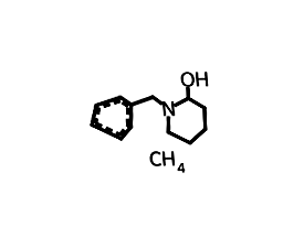 C.OC1CCCCN1Cc1ccccc1